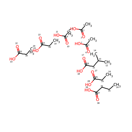 CC(=O)O.CC(=O)O.CC(=O)O.CC(C)CC(=O)O.CCC(=O)O.CCC(=O)O.CCC(=O)O.CCCC(=O)O